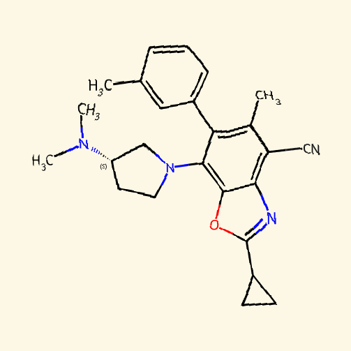 Cc1cccc(-c2c(C)c(C#N)c3nc(C4CC4)oc3c2N2CC[C@H](N(C)C)C2)c1